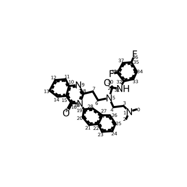 CN(C)CCN(CCc1nc2ccccc2c(=O)n1-c1ccc2ccccc2c1)C(=O)Nc1ccc(F)cc1F